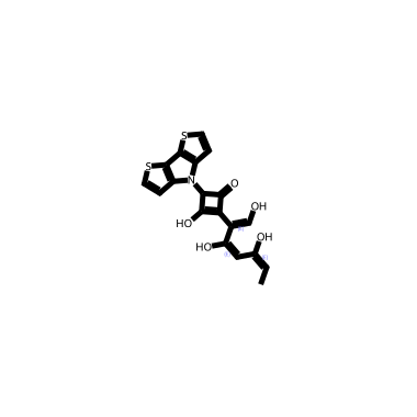 C\C=C(O)/C=C(O)\C(=C\O)C1=C(O)C(n2c3ccsc3c3sccc32)C1=O